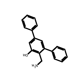 NCc1c(O)cc(-c2ccccc2)cc1-c1ccccc1